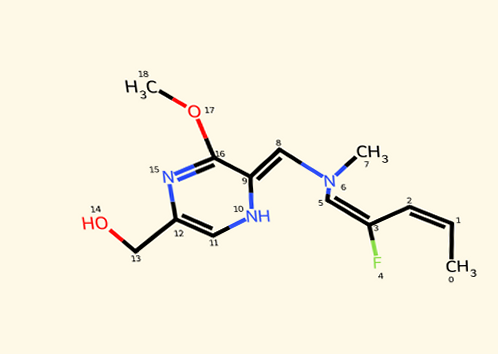 C/C=C\C(F)=C/N(C)/C=C1\NC=C(CO)N=C1OC